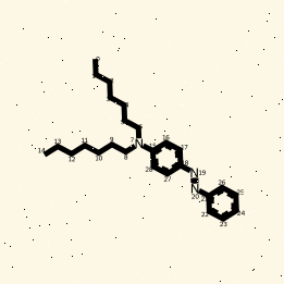 CCCCCCCN(CCCCCCC)c1ccc(N=Nc2ccccc2)cc1